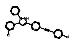 Clc1ccc(C#Cc2ccc(C3=CC(c4cccc(Cl)c4)N(c4ccccc4)N3)cc2)cc1